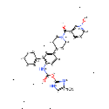 N#Cc1c[nH]c(OC(=O)Nc2ccc(C3CCN(C(=O)c4ccc[n+]([O-])c4)CC3)cc2C2=CCCCC2)n1